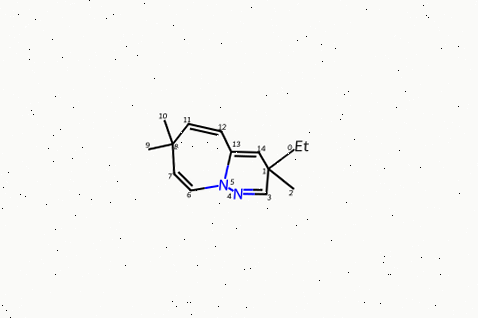 CCC1(C)C=NN2C=CC(C)(C)C=CC2=C1